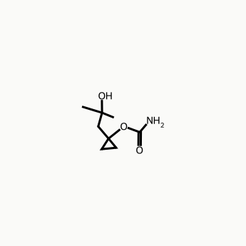 CC(C)(O)CC1(OC(N)=O)CC1